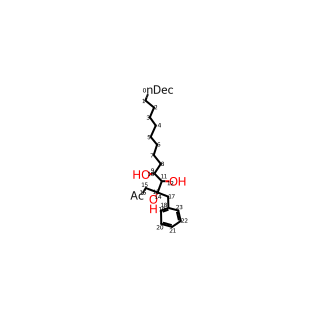 CCCCCCCCCCCCCCCCCCC(O)C(O)C(O)(CC(C)=O)Cc1ccccc1